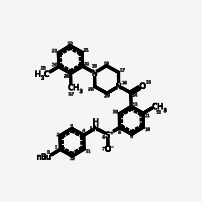 CCCCc1ccc(N[S+]([O-])c2ccc(C)c(C(=O)N3CCN(c4cccc(C)c4C)CC3)c2)cc1